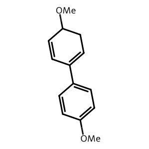 COc1ccc(C2=CCC(OC)C=C2)cc1